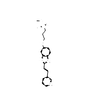 COS(=O)(=O)CCCOc1ccc2nc(/C=C/c3cccnc3)oc2c1